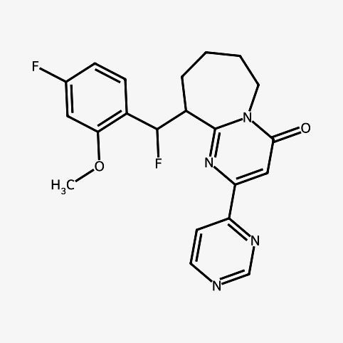 COc1cc(F)ccc1C(F)C1CCCCn2c1nc(-c1ccncn1)cc2=O